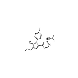 CCCn1cc(-c2ccnc(NC(C)C)c2)n(-c2ccc(F)cc2)c1=O